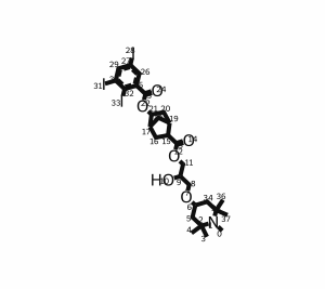 CN1C(C)(C)CC(OCC(O)COC(=O)C2CC3CC2CC3OC(=O)c2cc(I)cc(I)c2I)CC1(C)C